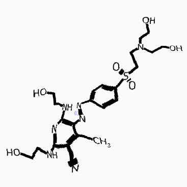 Cc1c(C#N)c(NCCO)nc(NCCO)c1/N=N/c1ccc(S(=O)(=O)CCN(CCO)CCO)cc1